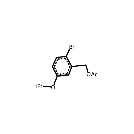 CC(=O)OCc1cc(OC(C)C)ccc1Br